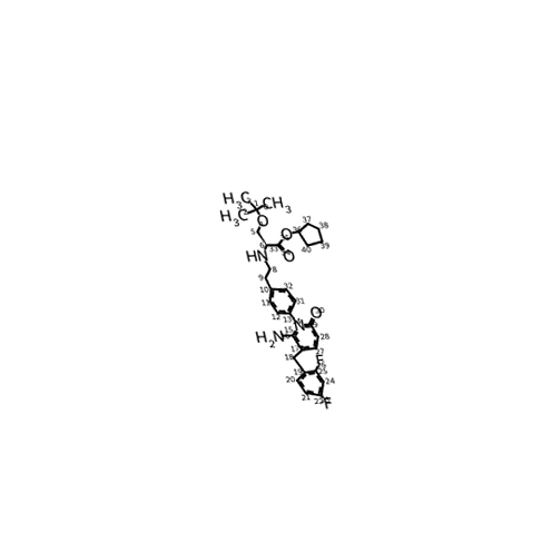 CC(C)(C)OC[C@H](NCCc1ccc(-n2c(N)c(Cc3ccc(F)cc3F)ccc2=O)cc1)C(=O)OC1CCCC1